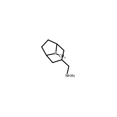 CC(=O)NCC1CC2CCC(C1)N2C